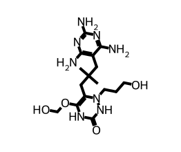 CC(C)(CC1=C(OCO)NC(=O)NN1CCCO)Cc1c(N)nc(N)nc1N